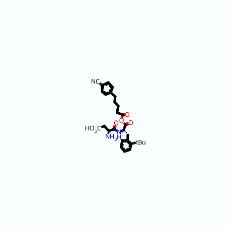 CC(C)(C)c1ccccc1C[C@H](NC(=O)[C@@H](N)CC(=O)O)C(=O)OC(=O)CCCCc1ccc(C#N)cc1